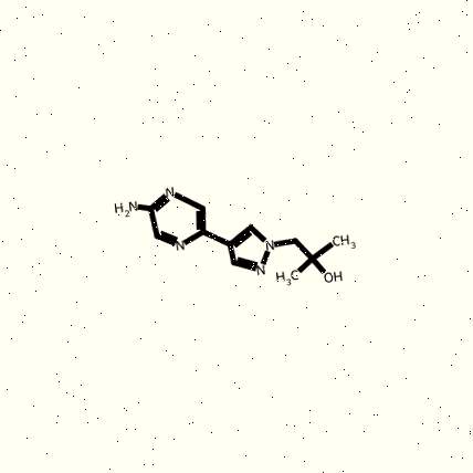 CC(C)(O)Cn1cc(-c2cnc(N)cn2)cn1